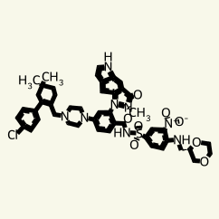 Cn1c(=O)c2cc3[nH]ccc3cc2n1-c1cc(N2CCN(CC3=C(c4ccc(Cl)cc4)CC(C)(C)CC3)CC2)ccc1C(=O)NS(=O)(=O)c1ccc(NC[C@H]2COCCO2)c([N+](=O)[O-])c1